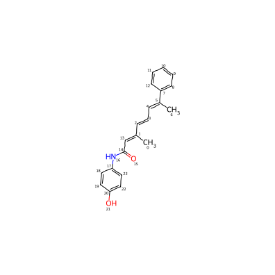 CC(/C=C/C=C(\C)c1ccccc1)=C\C(=O)Nc1ccc(O)cc1